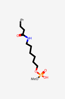 COP(=O)(O)OCCCCCCNC(=O)CCC(C)C